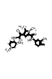 Cc1c(C(=O)C(=O)N[C@H]2CCN(C)C[C@H]2O)cc(C(=O)Nc2ccc(F)c(C#N)c2)n1C